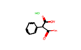 Cl.O=C(O)C(C(=O)O)c1ccccc1